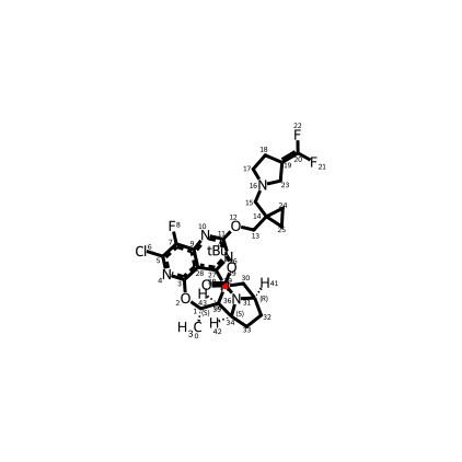 C[C@@H]1Oc2nc(Cl)c(F)c3nc(OCC4(CN5CCC(=C(F)F)C5)CC4)nc(c23)N2C[C@H]3CC[C@@H]([C@@H]12)N3C(=O)OC(C)(C)C